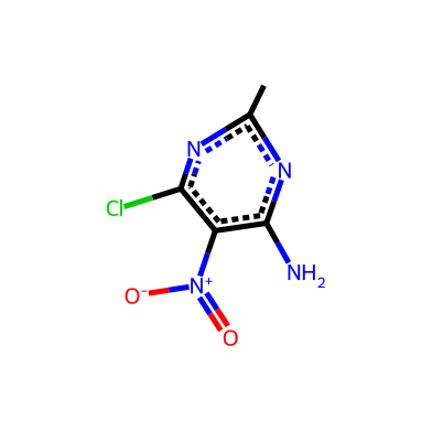 Cc1nc(N)c([N+](=O)[O-])c(Cl)n1